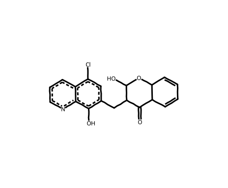 O=C1C2C=CC=CC2OC(O)C1Cc1cc(Cl)c2cccnc2c1O